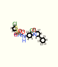 O=C(Nc1ccc(-n2cc(-c3ccccc3)ccc2=O)c(Cl)c1)NS(=O)(=O)c1ccc(Cl)s1